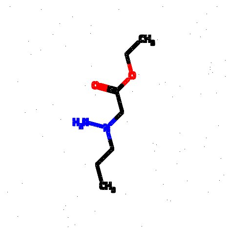 CCCN(N)CC(=O)OCC